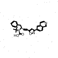 CC(C)(C)N(C(=O)O)[C@H](C#Cc1cc(-c2ccc3cnccc3c2)no1)Cc1ccccc1